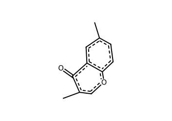 Cc1ccc2occ(C)c(=O)c2c1